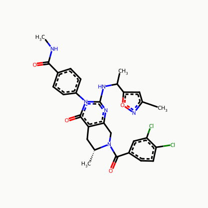 CNC(=O)c1ccc(-n2c(NC(C)c3cc(C)no3)nc3c(c2=O)C[C@@H](C)N(C(=O)c2ccc(Cl)c(Cl)c2)C3)cc1